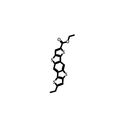 CCOC(=O)c1cc2sc3cc4c(cc3c2s1)sc1cc(CC)sc14